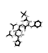 CC(C)C[C@H](NC(=O)[C@H](Cc1ccccc1)NC(=O)OC(C)(C)C)C(=O)N[C@@H](CC(C)C)[C@@H](O)c1cccs1